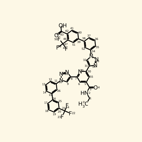 CCNC(=O)c1cc(-c2cn(-c3cccc(-c4cccc(C(F)(F)F)c4)c3)nn2)nc(-c2cn(-c3cccc(-c4ccc(C(=O)O)c(C(F)(F)F)c4)c3)nn2)c1